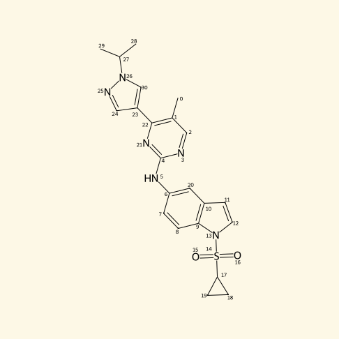 Cc1cnc(Nc2ccc3c(ccn3S(=O)(=O)C3CC3)c2)nc1-c1cnn(C(C)C)c1